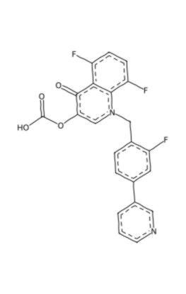 O=C(O)Oc1cn(Cc2ccc(-c3cccnc3)cc2F)c2c(F)ccc(F)c2c1=O